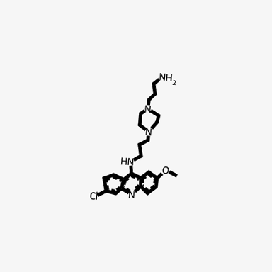 COc1ccc2nc3cc(Cl)ccc3c(NCCCN3CCN(CCCN)CC3)c2c1